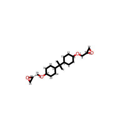 CC(C)(C1CCC(OCC2CO2)CC1)C1CCC(OC[C@@H]2CO2)CC1